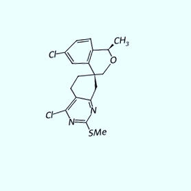 CSc1nc(Cl)c2c(n1)C[C@]1(CC2)CO[C@H](C)c2ccc(Cl)cc21